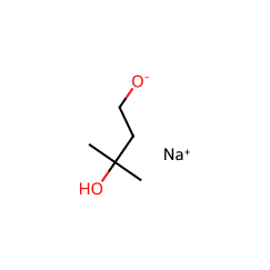 CC(C)(O)CC[O-].[Na+]